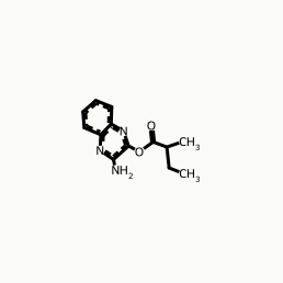 CCC(C)C(=O)Oc1nc2ccccc2nc1N